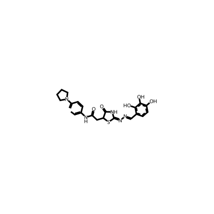 C=C(/C=C\C(=C/C)NC(=O)CC1S/C(=N/N=C/c2ccc(O)c(O)c2O)NC1=O)N1CCCC1